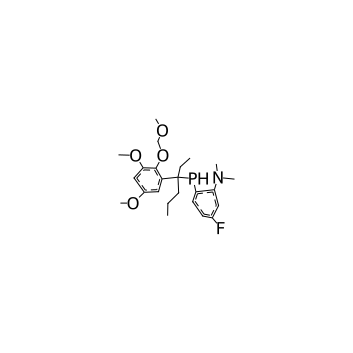 CCCC(CC)(Pc1ccc(F)cc1N(C)C)c1cc(OC)cc(OC)c1OCOC